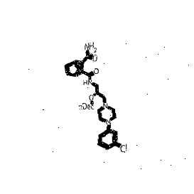 CCCCCCCCCCOC(CNC(=O)C1C2C=CC(C2)C1C(N)=O)CN1CCN(c2cccc(Cl)c2)CC1